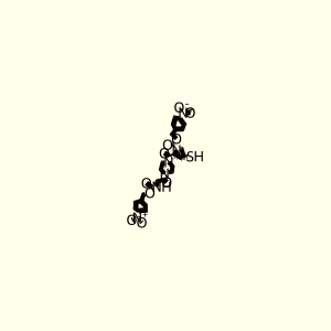 O=C(NCC(=O)N1CCN(C(=O)[C@@H]2C[C@H](S)CN2C(=O)OCc2ccc([N+](=O)[O-])cc2)CC1)OCc1ccc([N+](=O)[O-])cc1